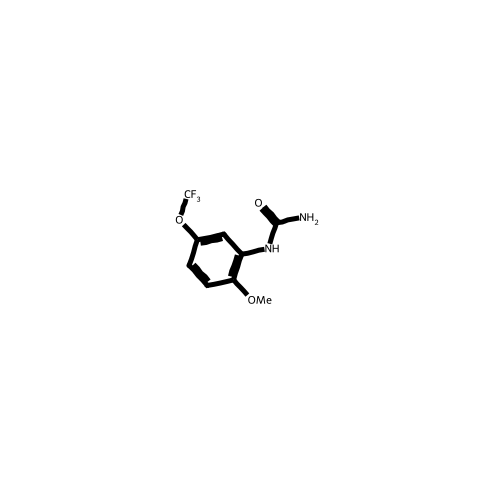 COc1ccc(OC(F)(F)F)cc1NC(N)=O